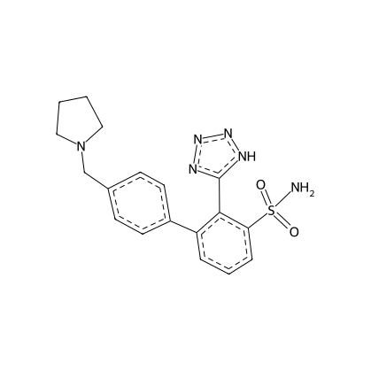 NS(=O)(=O)c1cccc(-c2ccc(CN3CCCC3)cc2)c1-c1nnn[nH]1